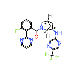 O=C(c1cccc(F)c1-c1ncccn1)N1C[C@@H]2C[C@@H](Nc3cnc(C(F)(F)F)cn3)[C@@H]1C2